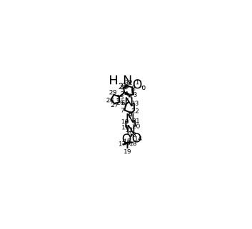 COc1cc(N2CCC(N3CCN(C(=O)OC(C)(C)C)CC3)CC2)c(C2CCCC2)cc1N